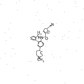 Cc1cscc1-c1cc(C2CCN(C)CC2)ccc1NC(=O)C1=CCC(C#N)O1